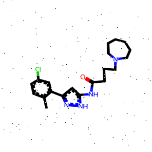 Cc1ccc(Cl)cc1-c1cc(NC(=O)CCCN2CCCCCC2)[nH]n1